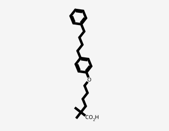 CC(C)(CCCCOc1ccc(CCCCc2ccccc2)cc1)C(=O)O